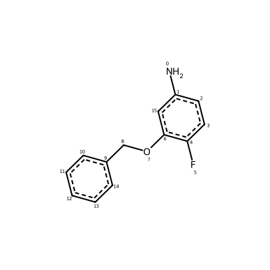 Nc1ccc(F)c(OCc2ccccc2)c1